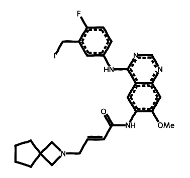 COc1cc2ncnc(Nc3ccc(F)c(CI)c3)c2cc1NC(=O)/C=C/CN1CC2(CCCC2)C1